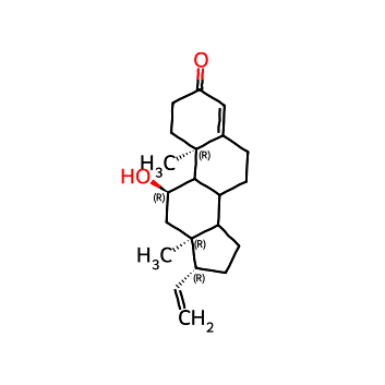 C=C[C@H]1CCC2C3CCC4=CC(=O)CC[C@]4(C)C3[C@H](O)C[C@@]21C